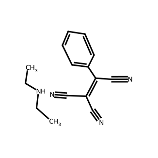 CCNCC.N#CC(C#N)=C(C#N)c1ccccc1